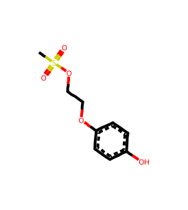 CS(=O)(=O)OCCOc1ccc(O)cc1